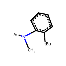 CC(=O)N(C)c1ccccc1C(C)(C)C